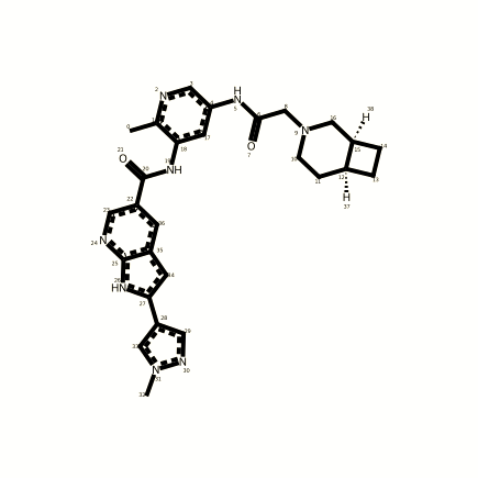 Cc1ncc(NC(=O)CN2CC[C@@H]3CC[C@@H]3C2)cc1NC(=O)c1cnc2[nH]c(-c3cnn(C)c3)cc2c1